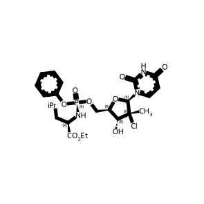 CCOC(=O)[C@@H](CC(C)C)N[P@@](=O)(OC[C@H]1O[C@@H](n2ccc(=O)[nH]c2=O)[C@](C)(Cl)[C@@H]1O)Oc1ccccc1